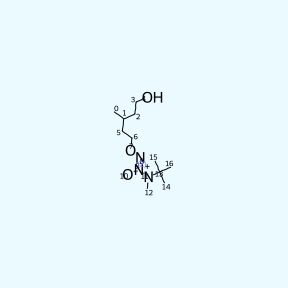 CC(CCO)CCO/N=[N+](\[O-])N(C)C(C)(C)C